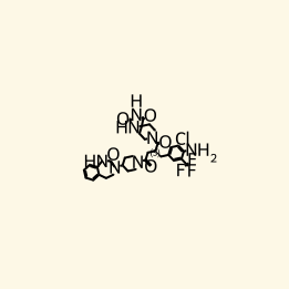 Nc1c(Cl)cc(C[C@@H](CC(=O)N2CCC(N3CCc4ccccc4NC3=O)CC2)C(=O)N2CCC3(CC2)NC(=O)NC3=O)cc1C(F)(F)F